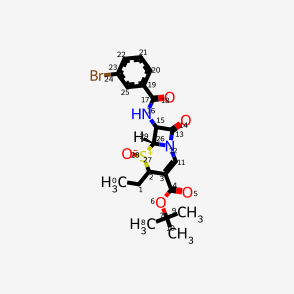 CCC1C(C(=O)OC(C)(C)C)=CN2C(=O)C(NC(=O)c3cccc(Br)c3)[C@H]2[S+]1[O-]